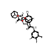 O=C(Nc1cc(F)c(F)c(F)c1)c1ccc(Cl)c(S(=O)(=O)C2CC3CC(C2)C3NC(=O)N2CC(O)C(O)C2)c1